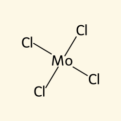 [Cl][Mo]([Cl])([Cl])[Cl]